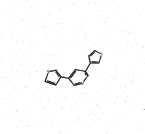 c1cc(-c2cncc(-c3ccsc3)c2)cs1